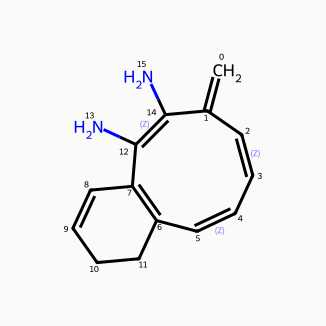 C=C1/C=C\C=C/C2=C(C=CCC2)C(/N)=C\1N